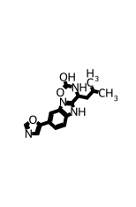 CC(C)CC(NC(=O)O)c1nc2cc(-c3cnco3)ccc2[nH]1